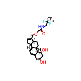 C[C@H](OCC(=O)NCC(F)(F)C(F)(F)F)C1=CC[C@H]2C3=CC=C4C[C@@H](O)C[C@H](O)[C@]4(C)[C@H]3CC[C@]12C